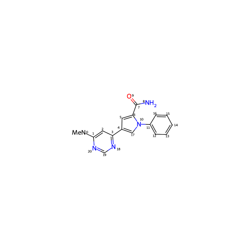 CNc1cc(-c2cc(C(N)=O)n(-c3ccccc3)c2)ncn1